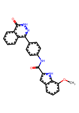 COc1cccc2cc(C(=O)Nc3ccc(-c4n[nH]c(=O)c5ccccc45)cc3)[nH]c12